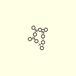 CC1(C)c2ccccc2-c2ccc(-c3ccc(-n4c5ccccc5c5ccc(N(c6ccccc6)c6ccc(N(c7ccccc7)c7ccccc7)cc6)cc54)cc3)cc21